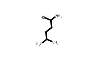 CC(C)CCC(N)S